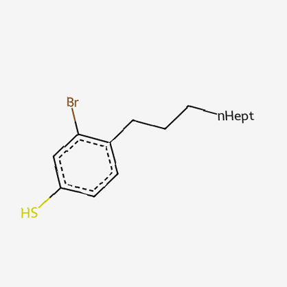 CCCCCCCCCCc1ccc(S)cc1Br